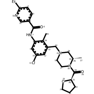 CCc1ccc(C(=O)Nc2cc(Cl)cc(CN3CCN(C(=O)[C@H]4CCCO4)[C@@H](C)C3)c2C)cn1